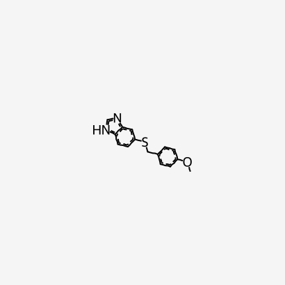 COc1ccc(CSc2ccc3[nH]cnc3c2)cc1